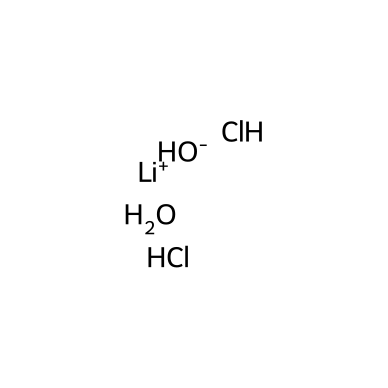 Cl.Cl.O.[Li+].[OH-]